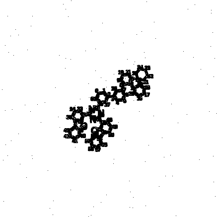 c1cc(-c2cccc(-c3cccc4c3-c3ccccc3C43CCCCC3)c2)cc(-c2nc(-c3cccc4c3oc3ccccc34)nc(-c3cccc4c3oc3ccccc34)n2)c1